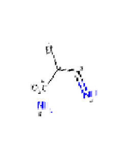 CCC(C=N)C(=O)O.N